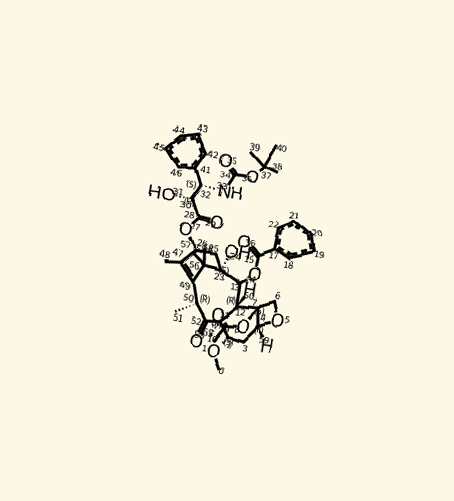 CO[C@H]1C[C@H]2OC[C@@]2(OC(C)=O)[C@H]2C(OC(=O)c3ccccc3)[C@]3(O)C[C@H](OC(=O)[C@H](O)[C@@H](NC(=O)OC(C)(C)C)c4ccccc4)C(C)=C([C@@H](C)C(=O)[C@]12C)C3(C)C